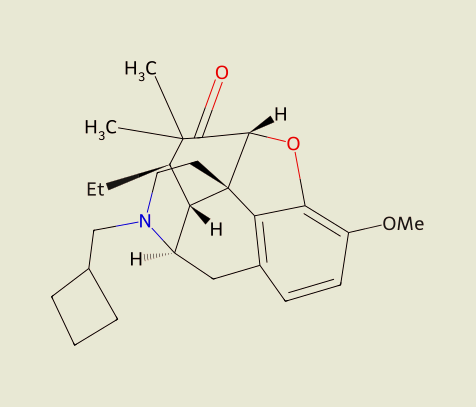 CC[C@@H]1[C@H]2[C@H]3Cc4ccc(OC)c5c4[C@@]2(CCN3CC2CCC2)[C@@H](O5)C(=O)C1(C)C